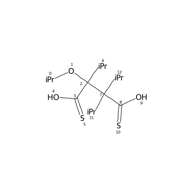 CC(C)OC(C(O)=S)(C(C)C)C(C(O)=S)(C(C)C)C(C)C